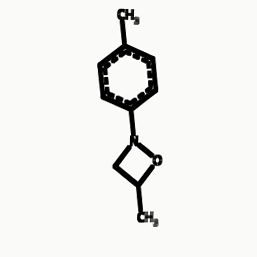 Cc1ccc(N2CC(C)O2)cc1